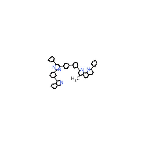 Cc1cc(-c2cccc(-c3ccc(-c4cc(-c5ccccc5)nc(-c5cccc(-c6cncc7ccccc67)c5)n4)cc3)c2)nc2c1ccc1ccc(-c3ccccc3)nc12